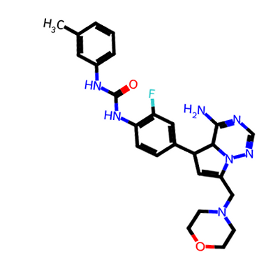 Cc1cccc(NC(=O)Nc2ccc(C3C=C(CN4CCOCC4)N4N=CN=C(N)C34)cc2F)c1